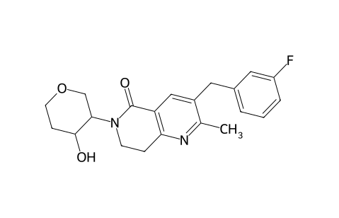 Cc1nc2c(cc1Cc1cccc(F)c1)C(=O)N(C1COCCC1O)CC2